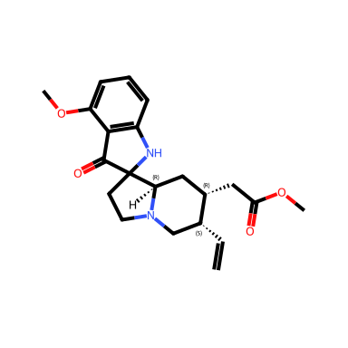 C=C[C@@H]1CN2CCC3(Nc4cccc(OC)c4C3=O)[C@H]2C[C@@H]1CC(=O)OC